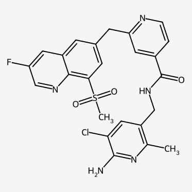 Cc1nc(N)c(Cl)cc1CNC(=O)c1ccnc(Cc2cc(S(C)(=O)=O)c3ncc(F)cc3c2)c1